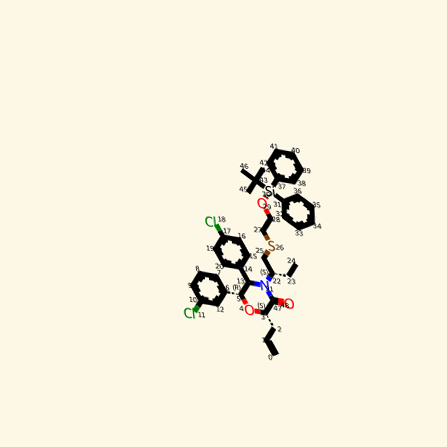 C=CC[C@@H]1O[C@H](c2cccc(Cl)c2)C(c2ccc(Cl)cc2)N([C@@H](CC)CSCCO[Si](c2ccccc2)(c2ccccc2)C(C)(C)C)C1=O